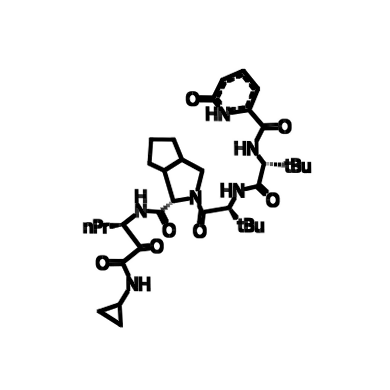 CCC[C@@H](NC(=O)[C@@H]1C2CCCC2CN1C(=O)[C@@H](NC(=O)[C@H](NC(=O)c1cccc(=O)[nH]1)C(C)(C)C)C(C)(C)C)C(=O)C(=O)NC1CC1